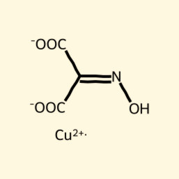 O=C([O-])C(=NO)C(=O)[O-].[Cu+2]